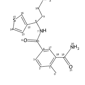 Cc1ccc(C(=O)NC(CCN)c2ccsc2)cc1C(N)=O